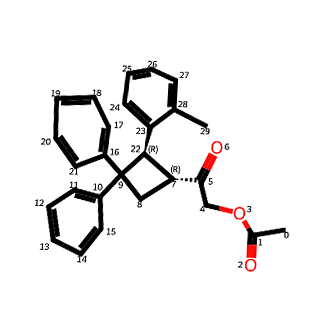 CC(=O)OCC(=O)[C@@H]1CC(c2ccccc2)(c2ccccc2)[C@H]1c1ccccc1C